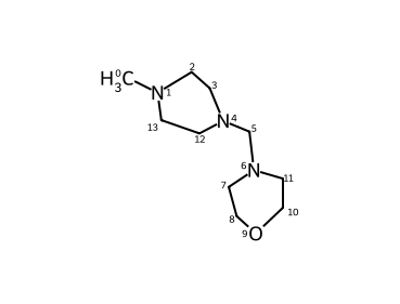 CN1CCN(CN2CCOCC2)CC1